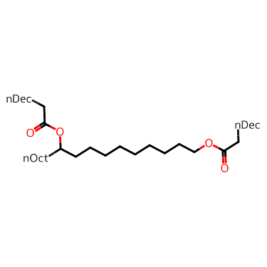 CCCCCCCCCCCC(=O)OCCCCCCCCCC(CCCCCCCC)OC(=O)CCCCCCCCCCC